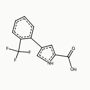 O=C(O)c1cc(-c2ccccc2C(F)(F)F)c[nH]1